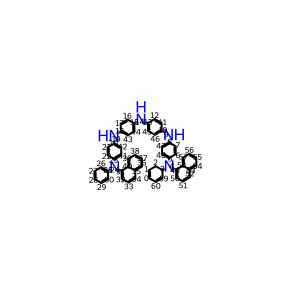 C1=CCC(N(c2ccc(Nc3ccc(Nc4ccc(Nc5ccc(N(c6ccccc6)c6cccc7ccccc67)cc5)cc4)cc3)cc2)c2cccc3ccccc23)C=C1